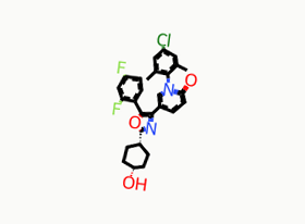 Cc1cc(Cl)cc(C)c1-n1cc(-c2nc([C@H]3CC[C@@H](O)CC3)oc2-c2ccc(F)cc2F)ccc1=O